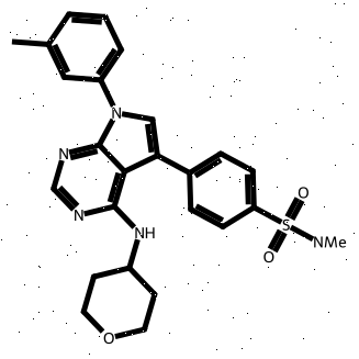 CNS(=O)(=O)c1ccc(-c2cn(-c3cccc(C)c3)c3ncnc(NC4CCOCC4)c23)cc1